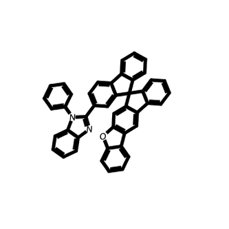 c1ccc(-n2c(-c3ccc4c(c3)C3(c5ccccc5-4)c4ccccc4-c4cc5c(cc43)oc3ccccc35)nc3ccccc32)cc1